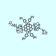 CC(C)c1ccc(Oc2cc3c4c(cc(Oc5ccc(C(C)C)cc5)c5c6c(Oc7ccc(C(C)C)cc7)cc7c8c(cc(Oc9ccc(C(C)C)cc9)c(c2c45)c86)C(=O)N(C(C(=O)NCCNCC2CO2)C2CCCC2)C7=O)C(=O)N(C(C(=O)NCCNCC2CO2)C2CCCC2)C3=O)cc1